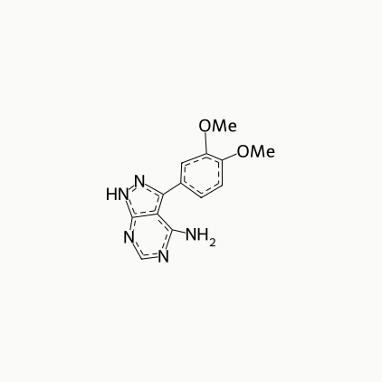 COc1ccc(-c2n[nH]c3ncnc(N)c23)cc1OC